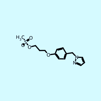 CS(=O)(=O)OCCCOc1ccc(Cn2cccn2)cc1